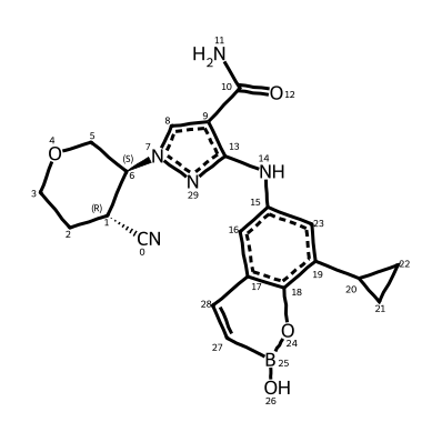 N#C[C@@H]1CCOC[C@H]1n1cc(C(N)=O)c(Nc2cc3c(c(C4CC4)c2)OB(O)C=C3)n1